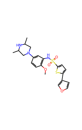 COc1ccc(N2CC(C)NC(C)C2)cc1NS(=O)(=O)c1ccc(-c2ccoc2)s1